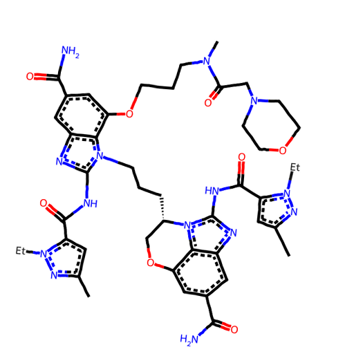 CCn1nc(C)cc1C(=O)Nc1nc2cc(C(N)=O)cc(OCCCN(C)C(=O)CN3CCOCC3)c2n1CCC[C@H]1COc2cc(C(N)=O)cc3nc(NC(=O)c4cc(C)nn4CC)n1c23